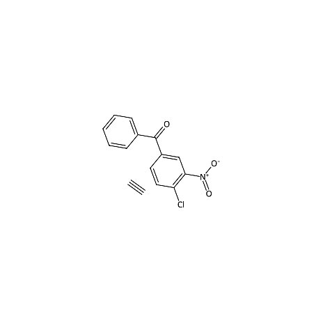 C#C.O=C(c1ccccc1)c1ccc(Cl)c([N+](=O)[O-])c1